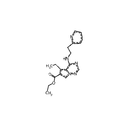 CCOC(=O)c1cn2ncnc(NCCc3ccccn3)c2c1CC